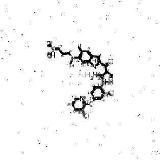 Cc1cc2cc(C(=O)c3cnn(-c4ccc(Oc5ncccc5Cl)cc4Cl)c3N)[nH]c2cc1N(C)CCC[SH](=O)=O